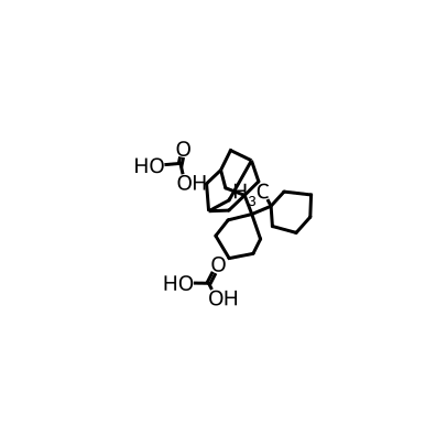 CC1(C2(C34CC5CC(CC(C5)C3)C4)CCCCC2)CCCCC1.O=C(O)O.O=C(O)O